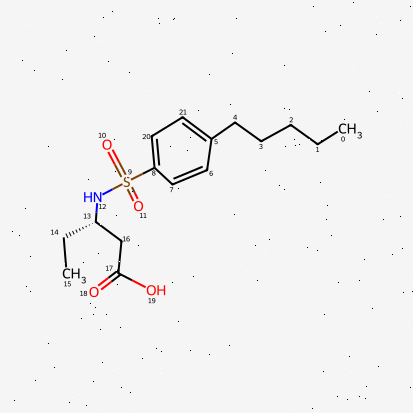 CCCCCc1ccc(S(=O)(=O)N[C@@H](CC)CC(=O)O)cc1